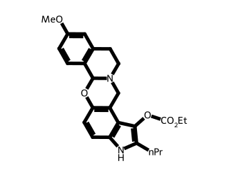 CCCc1[nH]c2ccc3c(c2c1OC(=O)OCC)CN1CCc2cc(OC)ccc2C1O3